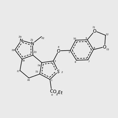 CCOC(=O)c1sc(Oc2ccc3c(c2)OCO3)c2c1CCc1cnn(C)c1-2